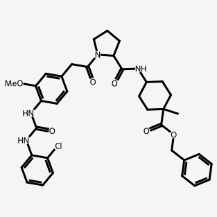 COc1cc(CC(=O)N2CCCC2C(=O)NC2CCC(C)(C(=O)OCc3ccccc3)CC2)ccc1NC(=O)Nc1ccccc1Cl